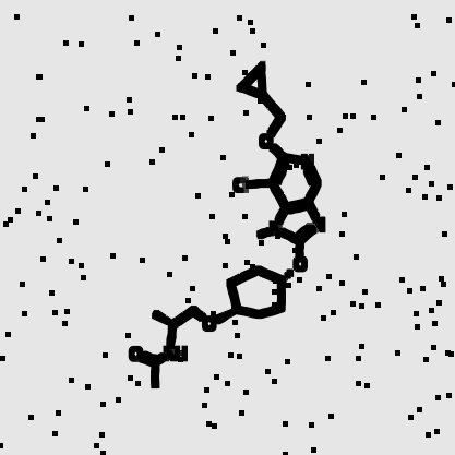 CC(=O)N[C@@H](C)CO[C@H]1CC[C@H](Oc2nc3cnc(OCC4CC4)c(Cl)c3n2C)CC1